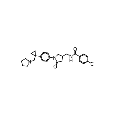 O=C(NCC1CC(=O)N(c2ccc(C3(CN4CCCC4)CC3)cc2)C1)c1ccc(Cl)cc1